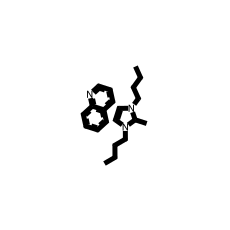 CCCCN1C=CN(CCCC)C1C.c1ccc2ncccc2c1